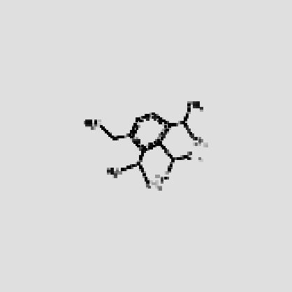 [CH2]Cc1ccc(C(C)C)c(C(C)C)c1C(C)C